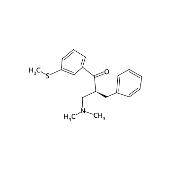 CSc1cccc(C(=O)[C@@H](Cc2ccccc2)CN(C)C)c1